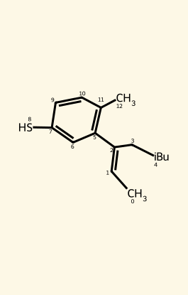 C/C=C(\CC(C)CC)c1cc(S)ccc1C